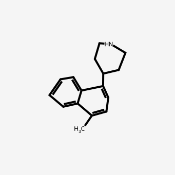 Cc1ccc(C2CCNCC2)c2ccccc12